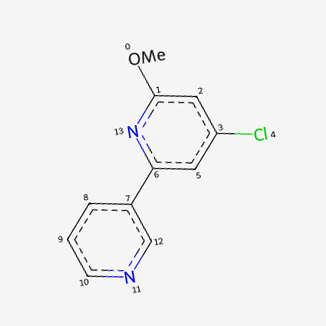 COc1cc(Cl)cc(-c2cccnc2)n1